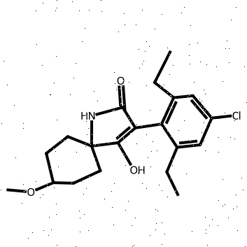 CCc1cc(Cl)cc(CC)c1C1=C(O)C2(CCC(OC)CC2)NC1=O